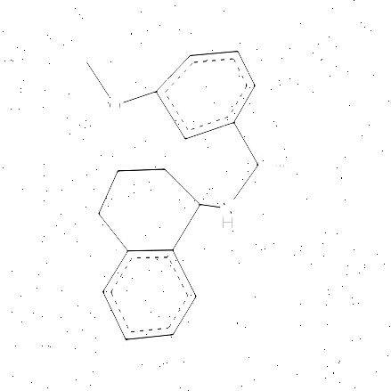 COc1cccc([C@H](C)NC2CCCc3ccccc32)c1